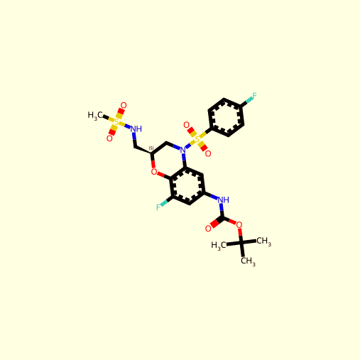 CC(C)(C)OC(=O)Nc1cc(F)c2c(c1)N(S(=O)(=O)c1ccc(F)cc1)C[C@H](CNS(C)(=O)=O)O2